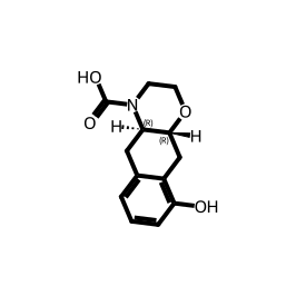 O=C(O)N1CCO[C@@H]2Cc3c(O)cccc3C[C@H]21